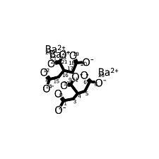 O=C([O-])CC(CC(=O)[O-])C(=O)[O-].O=C([O-])CC(CC(=O)[O-])C(=O)[O-].[Ba+2].[Ba+2].[Ba+2]